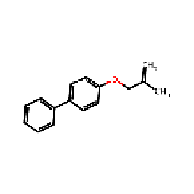 C=C(C)COc1ccc(-c2ccccc2)cc1